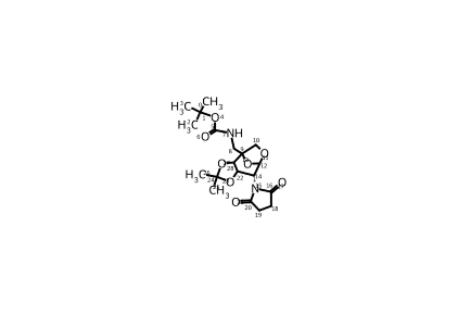 CC(C)(C)OC(=O)NCC12COC(O1)[C@H](N1C(=O)CCC1=O)C1OC(C)(C)OC12